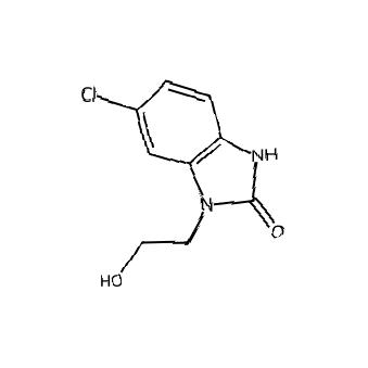 O=c1[nH]c2ccc(Cl)cc2n1CCO